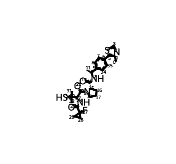 Cc1ncsc1-c1ccc([C@H](C)NC(=O)[C@@H]2CCCN2C(=O)[C@@H](NC(=O)C2(F)CC2)C(C)(C)S)cc1